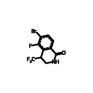 O=C1NCC(C(F)(F)F)c2c1ccc(Br)c2F